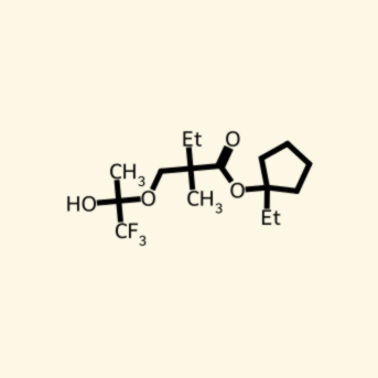 CCC1(OC(=O)C(C)(CC)COC(C)(O)C(F)(F)F)CCCC1